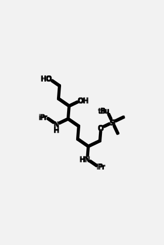 CC(C)NC(CCC(NC(C)C)C(O)CCO)CO[Si](C)(C)C(C)(C)C